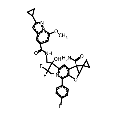 COc1cc(C(=O)NCC(O)(c2cc3c(c(-c4ccc(F)cc4)n2)OC2C4(CC4)[C@@]32C(N)=O)C(F)(F)F)cc2cc(C3CC3)nn12